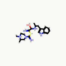 CC(Cc1c[nH]c2ccccc12)NC(O)C(=N)SC(=N)N1CCN(C)C(C)C1